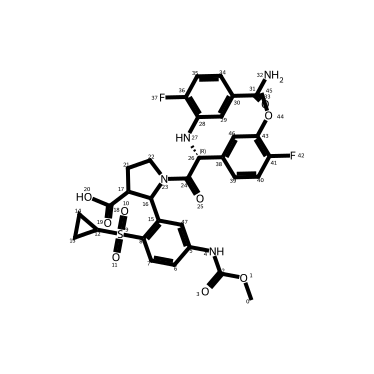 COC(=O)Nc1ccc(S(=O)(=O)C2CC2)c(C2C(C(=O)O)CCN2C(=O)[C@H](Nc2cc(C(N)=O)ccc2F)c2ccc(F)c(OC)c2)c1